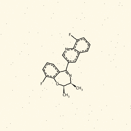 C[C@@H]1N=C(c2cnc3c(F)cccc3c2)c2cccc(F)c2O[C@@H]1C